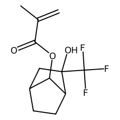 C=C(C)C(=O)OC1C2CCC1C(O)(C(F)(F)F)C2